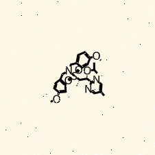 COc1ccc(CN(Cc2ccc(OC)cc2)S(=O)(=O)[C@@H](C)[C@H](OC(C)C)c2ncc(C)cn2)cc1